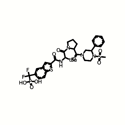 CC(C)(C)C(NC(=O)c1cc2cc(C(F)(F)P(=O)(O)O)ccc2s1)C(=O)N1CCCC1C(=O)N1CCN(S(C)(=O)=O)C(c2ccccc2)C1